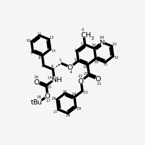 Cc1cc(OC[C@@H](Cc2ccccc2)NC(=O)OC(C)(C)C)c(C(=O)OCc2ccccc2)c2cccnc12